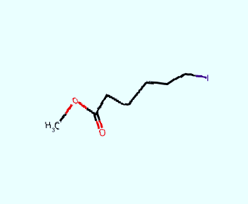 COC(=O)CCCCCI